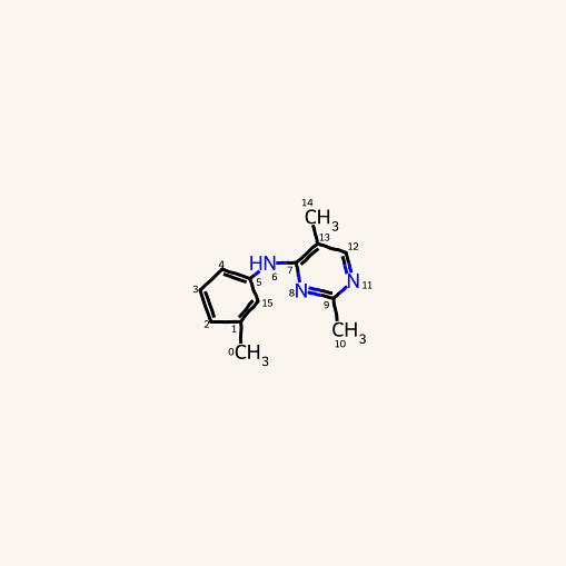 Cc1cccc(Nc2nc(C)ncc2C)c1